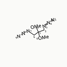 COC(CN=[N+]=[N-])(CN=[N+]=[N-])OC